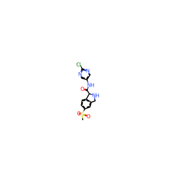 CS(=O)(=O)c1ccc2c(c1)CNC2C(=O)Nc1cnc(Cl)nc1